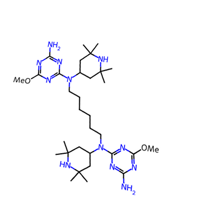 COc1nc(N)nc(N(CCCCCCN(c2nc(N)nc(OC)n2)C2CC(C)(C)NC(C)(C)C2)C2CC(C)(C)NC(C)(C)C2)n1